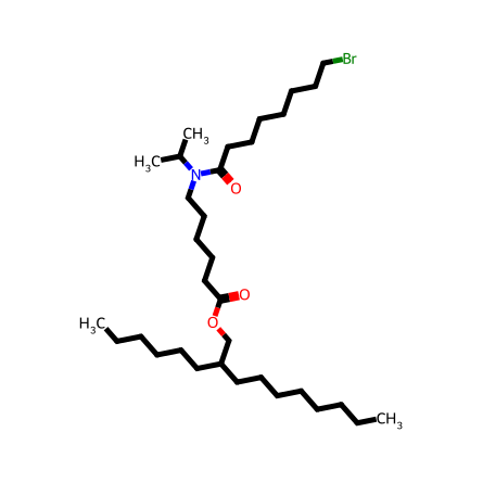 CCCCCCCCC(CCCCCC)COC(=O)CCCCCN(C(=O)CCCCCCCBr)C(C)C